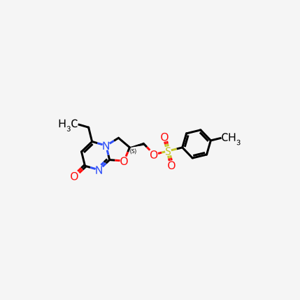 CCc1cc(=O)nc2n1C[C@@H](COS(=O)(=O)c1ccc(C)cc1)O2